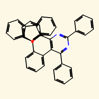 c1ccc(-c2nc(-c3ccccc3)c(-c3ccccc3C3c4ccccc4-c4ccccc43)c(-c3ccccc3)n2)cc1